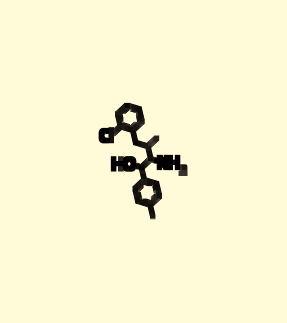 Cc1ccc([C@@H](O)[C@H](N)C(C)Cc2ccccc2Cl)cc1